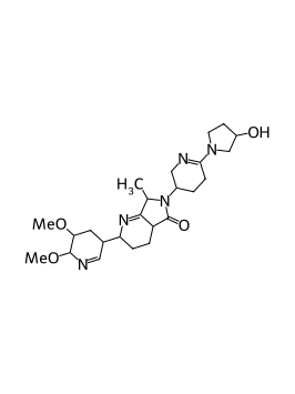 COC1CC(C2CCC3C(=O)N(C4CCC(N5CCC(O)C5)=NC4)C(C)C3=N2)C=NC1OC